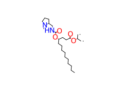 [CH2]C([CH2])OC(=O)CCC(CCCCCCCCCC)OC(=O)NCC1CCCN1C